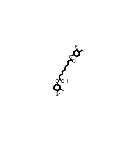 O=C(CCCCCCCC(O)Oc1ccc(Br)c(F)c1)Oc1ccc(Br)c(F)c1